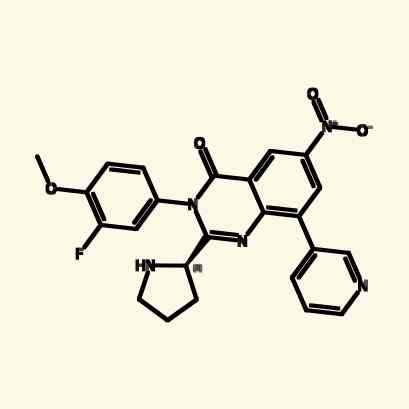 COc1ccc(-n2c([C@H]3CCCN3)nc3c(-c4cccnc4)cc([N+](=O)[O-])cc3c2=O)cc1F